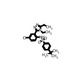 CCc1nnc(-c2cc(Cl)ccc2NS(=O)(=O)c2ccc(C(C)(C)C)cc2)n1CC